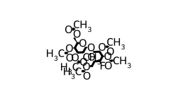 CC(=O)OCC1O[C@H](O[C@H]2O[C@H](COC(C)=O)[C@@H](OC(C)=O)C(OC(C)=O)C2C)C(OC(C)=O)[C@@H](OC(C)=O)[C@H]1F